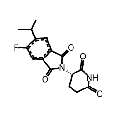 CC(C)c1cc2c(cc1F)C(=O)N([C@H]1CCC(=O)NC1=O)C2=O